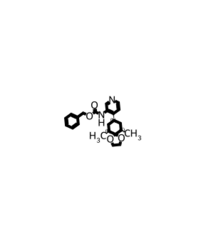 C[C@@H]1C[C@H](c2ccncc2NC(=O)OCc2ccccc2)C[C@H](C)C12OCCO2